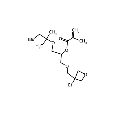 C=C(C)C(=O)OC(COCC1(CC)COC1)COC(C)(C)CC(C)(C)C